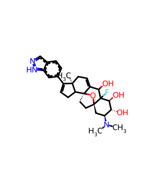 CN(C)[C@H]1C[C@@]23CC[C@@]4(O2)C(=CC[C@]2(C)C(c5ccc6cn[nH]c6c5)=CCC24)C(O)C3(F)[C@@H](O)[C@@H]1O